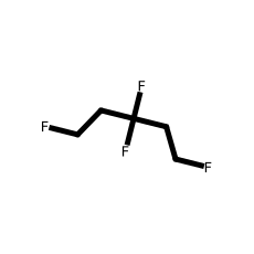 FCCC(F)(F)CCF